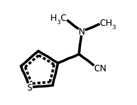 CN(C)C(C#N)c1ccsc1